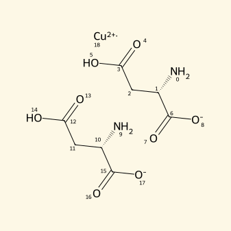 N[C@@H](CC(=O)O)C(=O)[O-].N[C@@H](CC(=O)O)C(=O)[O-].[Cu+2]